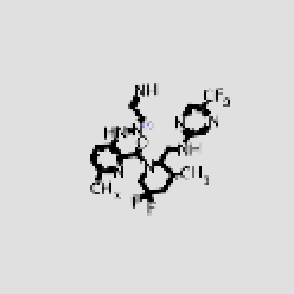 Cc1ccc(N/N=C\C=N)c(C(=O)N2CC(F)(F)C[C@@H](C)C2CNc2cnc(C(F)(F)F)cn2)n1